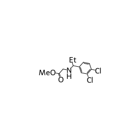 CCC(NCC(=O)OC)c1ccc(Cl)c(Cl)c1